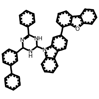 c1ccc(C2=NC(c3cccc(-c4ccccc4)c3)NC(n3c4ccccc4c4ccc(-c5cccc6c5oc5ccccc56)cc43)N2)cc1